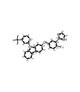 CC(C)(C)c1ccnc(-n2c3ccccc3c3ccc(Oc4ccc(F)c(-c5ncc[nH]5)c4)cc32)c1